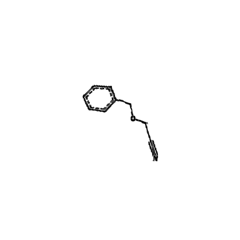 N#C[CH]OCc1ccccc1